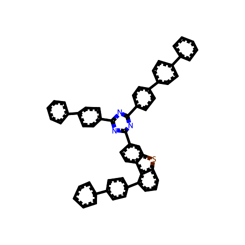 c1ccc(-c2ccc(-c3ccc(-c4nc(-c5ccc(-c6ccccc6)cc5)nc(-c5ccc6c(c5)sc5cccc(-c7ccc(-c8ccccc8)cc7)c56)n4)cc3)cc2)cc1